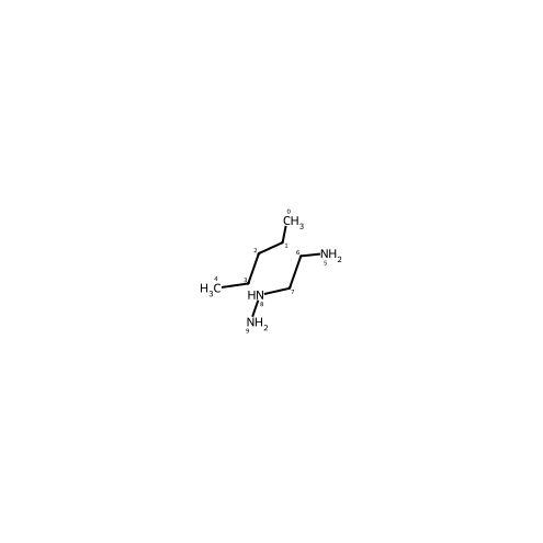 CCCCC.NCCNN